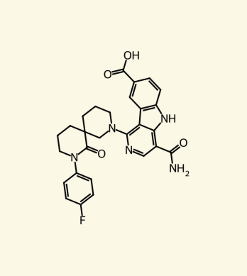 NC(=O)c1cnc(N2CCCC3(CCCN(c4ccc(F)cc4)C3=O)C2)c2c1[nH]c1ccc(C(=O)O)cc12